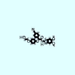 COc1cc2nc(NC(=O)C(Oc3ccc(OCCO)cc3)c3ccc(C#N)cc3)sc2cc1OC